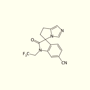 N#Cc1ccc2c(c1)N(CC(F)(F)F)C(=O)C21CCc2cncn21